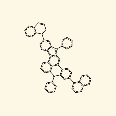 C1=Cc2ccccc2C(c2ccc3c4c5cccc6c5c(cc4n(-c4ccccc4)c3c2)-c2ccc(-c3cccc4ccccc34)cc2N6c2ccccc2)C1